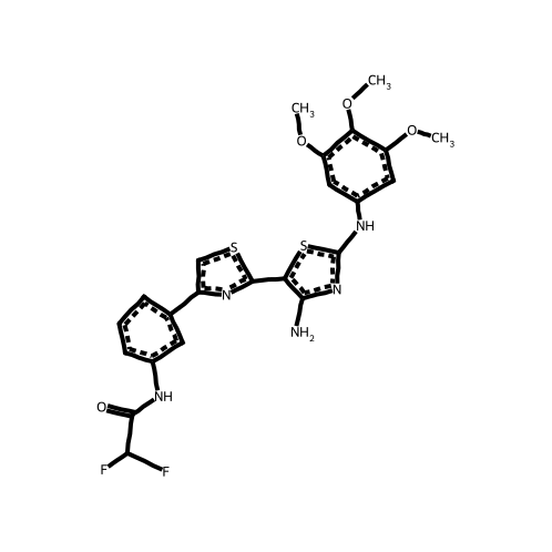 COc1cc(Nc2nc(N)c(-c3nc(-c4cccc(NC(=O)C(F)F)c4)cs3)s2)cc(OC)c1OC